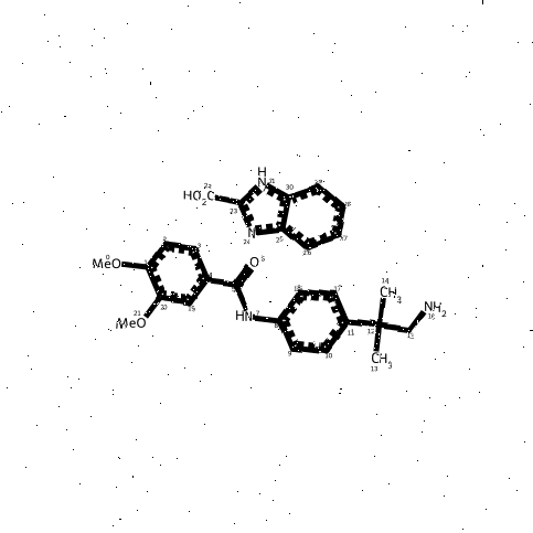 COc1ccc(C(=O)Nc2ccc(C(C)(C)CN)cc2)cc1OC.O=C(O)c1nc2ccccc2[nH]1